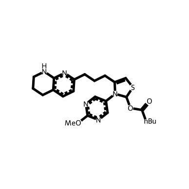 CCCCC(=O)OC1SC=C(CCCc2ccc3c(n2)NCCC3)N1c1cnc(OC)nc1